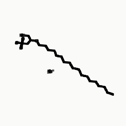 CCCCCCCCCCCCCCCCCCOC(CO)CS(=O)(=O)[O-].[Na+]